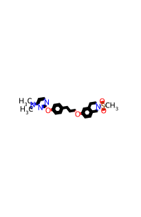 CN(C)c1ccnc(Oc2ccc(CCCOc3ccc4c(c3)CCN(S(C)(=O)=O)C4)cc2)n1